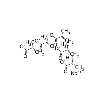 C=C(C)C(=O)[O-].C=C(C)C(=O)[O-].C=C(C)C(=O)[O-].C=C(C)C(=O)[O-].C=C(C)C(=O)[O-].[Nb+5]